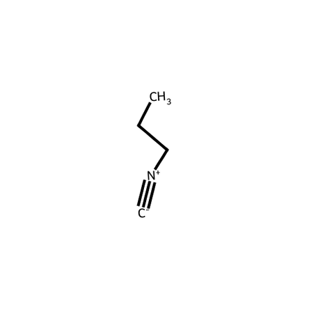 [C-]#[N+]CCC